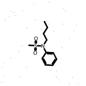 CCCCN(c1ccccc1)S(C)(=O)=O